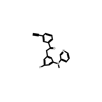 C#Cc1cccc(C(=O)Cc2cc(F)cc(N(C)c3cccnc3)c2)c1